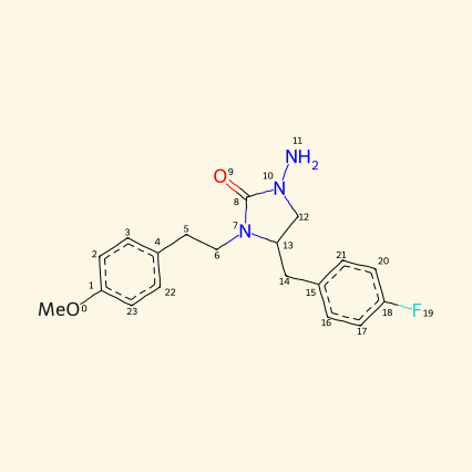 COc1ccc(CCN2C(=O)N(N)CC2Cc2ccc(F)cc2)cc1